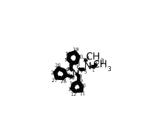 CCN(CC)CC[N+](Cc1ccccc1)(Cc1ccccc1)Cc1ccccc1